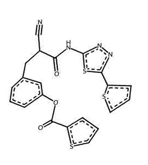 N#CC(Cc1cccc(OC(=O)c2cccs2)c1)C(=O)Nc1nnc(-c2cccs2)s1